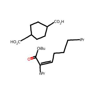 CCCC(=CCCCC(C)C)C(=O)OCC(C)C.O=C(O)C1CCC(C(=O)O)CC1